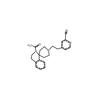 CC(=O)N1CCc2ccccc2C12CCN(CCc1ccnc(C#N)c1)CC2